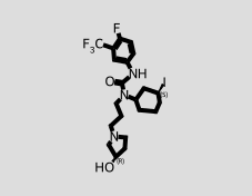 O=C(Nc1ccc(F)c(C(F)(F)F)c1)N(CCCN1CC[C@@H](O)C1)C1CCC[C@H](I)C1